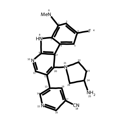 CNc1cc(F)cc2c1[nH]c1ncc(-c3cncc(C#N)c3)c(N3CCC(N)C3)c12